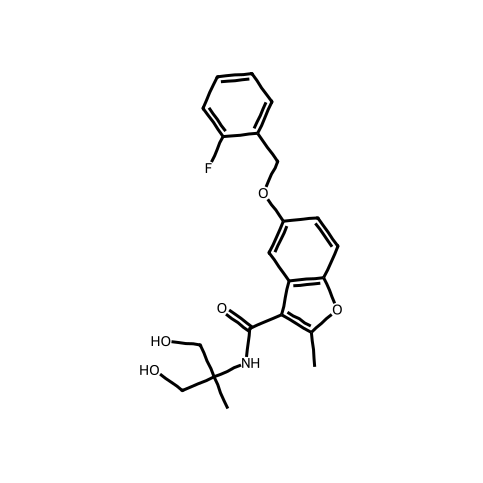 Cc1oc2ccc(OCc3ccccc3F)cc2c1C(=O)NC(C)(CO)CO